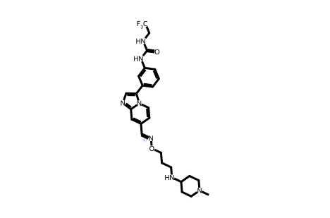 CN1CCC(NCCCO/N=C/c2ccn3c(-c4cccc(NC(=O)NCC(F)(F)F)c4)cnc3c2)CC1